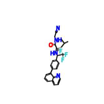 CC(C)C[C@H](NC(c1ccc(-c2cccc3cccnc23)cc1)C(F)(F)F)C(=O)NCC#N